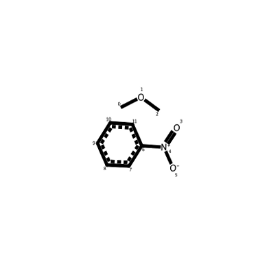 COC.O=[N+]([O-])c1ccccc1